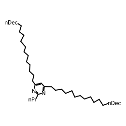 [CH2]CCc1nc(CCCCCCCCCCCCCCCCCCCCCC)cc(CCCCCCCCCCCCCCCCCCCCCC)n1